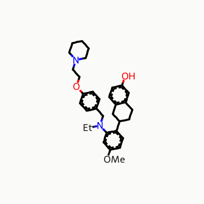 CCN(Cc1ccc(OCCN2CCCCC2)cc1)c1cc(OC)ccc1C1CCc2cc(O)ccc2C1